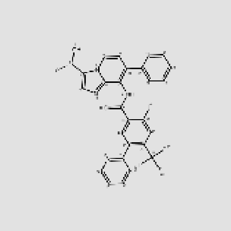 C[C@H](O)c1cnc2c(NC(=O)c3cc(-c4ncccn4)c(C(F)(F)F)cc3F)c(-c3ccccc3)ccn12